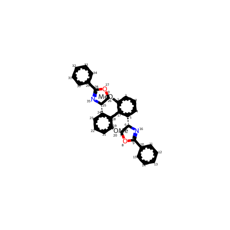 COc1cccc([C@H]2COC(c3ccccc3)=N2)c1-c1c(OC)cccc1[C@H]1COC(c2ccccc2)=N1